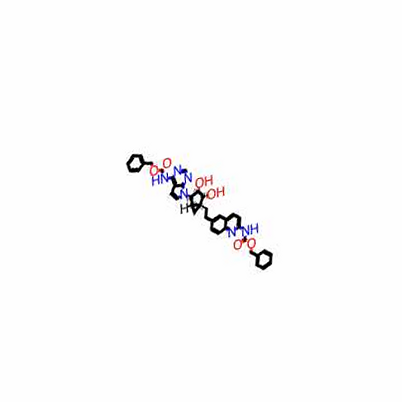 O=C(Nc1ccc2cc(CC[C@@]34C[C@@H]3[C@@H](n3ccc5c(NC(=O)OCc6ccccc6)ncnc53)[C@H](O)[C@@H]4O)ccc2n1)OCc1ccccc1